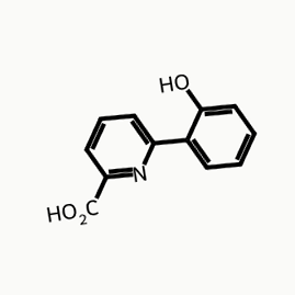 O=C(O)c1cccc(-c2ccccc2O)n1